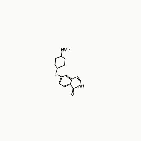 CNC1CCC(Oc2ccc3c(=O)[nH]ccc3c2)CC1